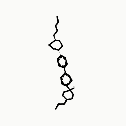 CCCCC[C@H]1CC[C@H](c2ccc(-c3ccc(C4(F)CCC(CCC)CC4)cc3)cc2)CC1